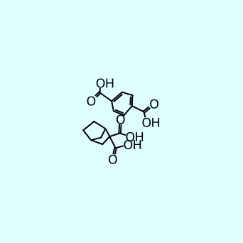 O=C(O)C1(C(=O)O)CC2CCC1C2.O=C(O)c1ccc(C(=O)O)cc1